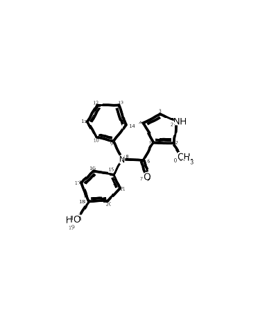 Cc1[nH]ccc1C(=O)N(c1ccccc1)c1ccc(O)cc1